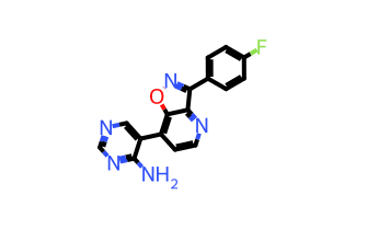 Nc1ncncc1-c1ccnc2c(-c3ccc(F)cc3)noc12